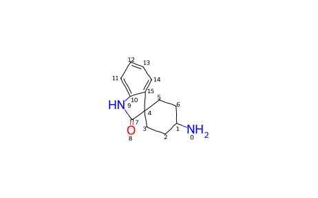 NC1CCC2(CC1)C(=O)Nc1ccccc12